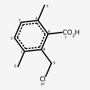 Cc1ccc(C)c(C(=O)O)c1CCl